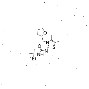 CCC(C)(C)NC(=O)N=c1sc(C)c(C)n1CC1CCCO1